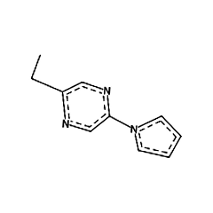 CCc1cnc(-n2cccc2)cn1